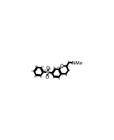 CNCC1CCc2ccc(S(=O)(=O)c3ccccc3)cc2O1